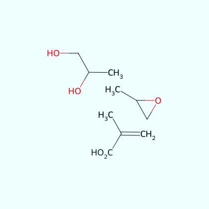 C=C(C)C(=O)O.CC(O)CO.CC1CO1